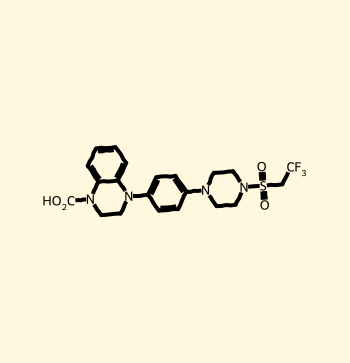 O=C(O)N1CCN(c2ccc(N3CCN(S(=O)(=O)CC(F)(F)F)CC3)cc2)c2ccccc21